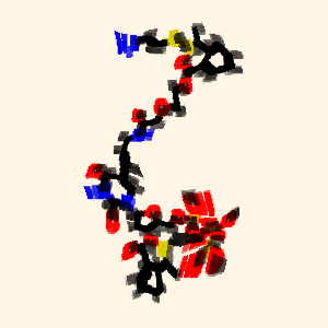 CSSC(C)c1ccccc1C(=O)O[C@@H]1C[C@H](n2cc(C#CCNC(=O)COCCOC(=O)c3ccccc3C(C)SSCCN)c(=O)[nH]c2=O)OC1COP(=O)(O)OP(=O)(O)OP(=O)(O)O